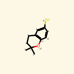 CC1(C)CCc2cc(S)ccc2O1